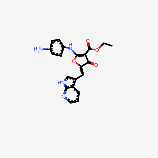 CCOC(=O)C1=C(Nc2ccc(N)cc2)OC(=Cc2c[nH]c3ncccc23)C1=O